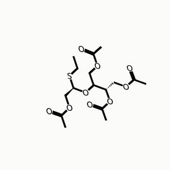 CCS[C@H](COC(C)=O)OC(COC(C)=O)[C@H](COC(C)=O)OC(C)=O